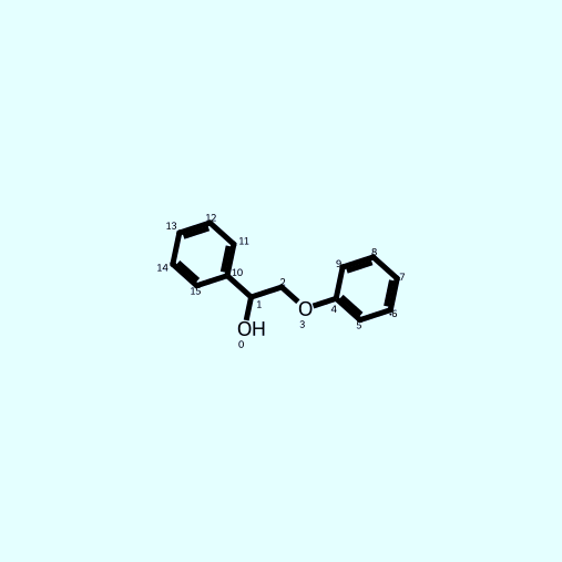 OC(COc1c[c]ccc1)c1ccccc1